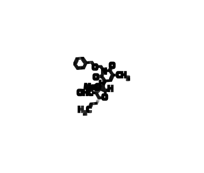 C=CC[C@H]1O[C@H]2[C@H](C3C=C(C)C(=O)N(COCc4ccccc4)C3=O)O[C@]1(C=O)[C@H]2OC